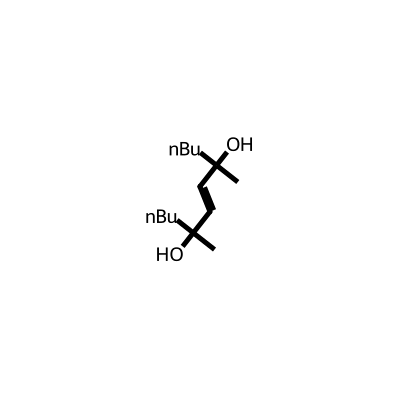 CCCCC(C)(O)C=CC(C)(O)CCCC